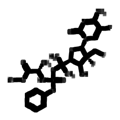 CC(C)OC(=O)[C@H](C)NP(=O)(Oc1ccccc1)OC(C)(C)[C@H]1O[C@@H](n2cc(F)c(N)nc2=O)[C@@](F)(CF)C1O